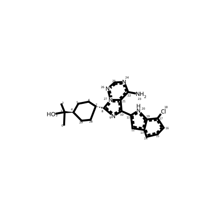 CC(C)(O)[C@H]1CC[C@H](c2nc(-c3cc4cccc(Cl)c4[nH]3)c3c(N)ncnn32)CC1